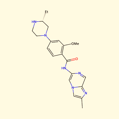 CC[C@@H]1CN(c2ccc(C(=O)Nc3cn4cc(C)nc4cn3)c(OC)c2)CCN1